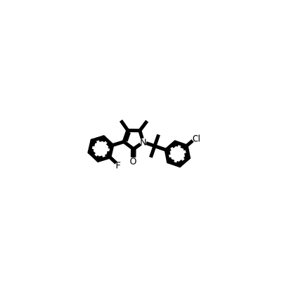 CC1=C(c2ccccc2F)C(=O)N(C(C)(C)c2cccc(Cl)c2)C1C